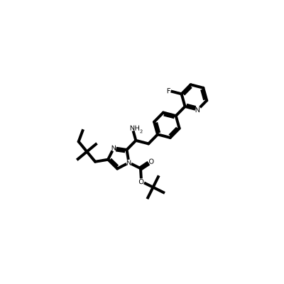 CCC(C)(C)Cc1cn(C(=O)OC(C)(C)C)c(C(N)Cc2ccc(-c3ncccc3F)cc2)n1